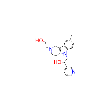 Cc1ccc2c(c1)c1c(n2CC(O)c2cccnc2)CCN(CCO)C1